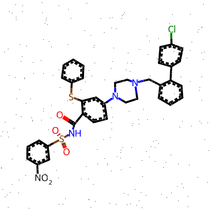 O=C(NS(=O)(=O)c1cccc([N+](=O)[O-])c1)c1ccc(N2CCN(Cc3ccccc3-c3ccc(Cl)cc3)CC2)cc1Sc1ccccc1